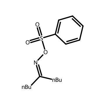 CCCCC(CCCC)=NOS(=O)(=O)c1ccccc1